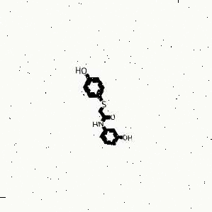 O=C(CSc1ccc(O)cc1)Nc1cccc(O)c1